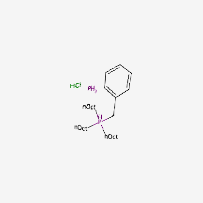 CCCCCCCC[PH](CCCCCCCC)(CCCCCCCC)Cc1ccccc1.Cl.P